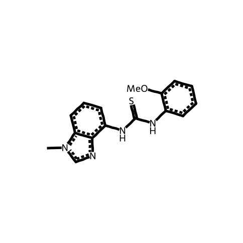 COc1ccccc1NC(=S)Nc1cccc2c1ncn2C